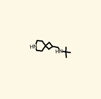 CC(C)(C)NCC1CC2(CCNCC2)C1